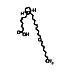 CCCCCCCCOCCCCSCCCC[C@H]1[C@@H](C/C=C\CCCC(=O)O)[C@H]2CC[C@@H]1O2